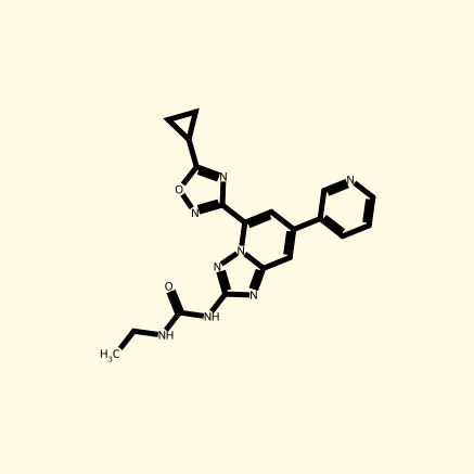 CCNC(=O)Nc1nc2cc(-c3cccnc3)cc(-c3noc(C4CC4)n3)n2n1